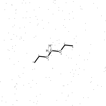 CCO[SiH2]OCC.[H+]